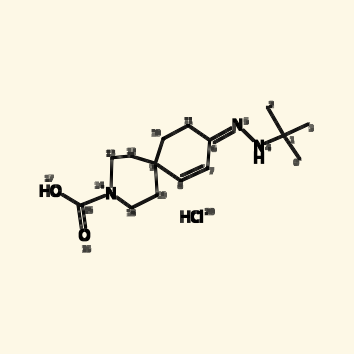 CC(C)(C)N/N=C1\C=CC2(CC1)CCN(C(=O)O)CC2.Cl